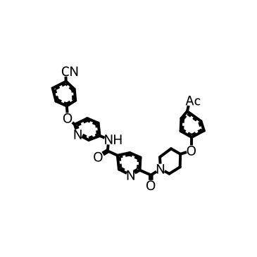 CC(=O)c1ccc(OC2CCN(C(=O)c3ccc(C(=O)Nc4ccc(Oc5ccc(C#N)cc5)nc4)cn3)CC2)cc1